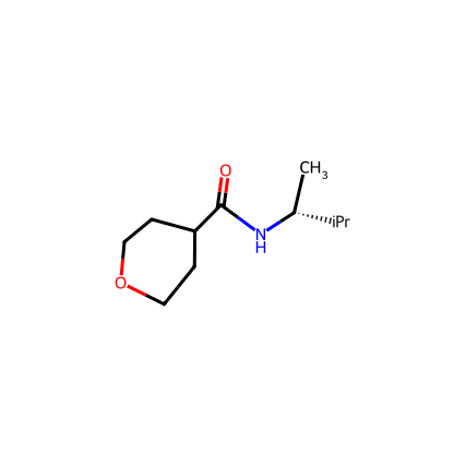 CC(C)[C@@H](C)NC(=O)C1CCOCC1